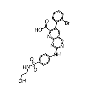 O=C(O)c1nc2nc(Nc3ccc(S(=O)(=O)NCCO)cc3)ncc2cc1-c1ccccc1Br